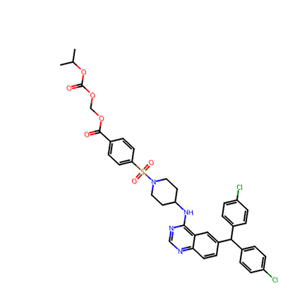 CC(C)OC(=O)OCOC(=O)c1ccc(S(=O)(=O)N2CCC(Nc3ncnc4ccc(C(c5ccc(Cl)cc5)c5ccc(Cl)cc5)cc34)CC2)cc1